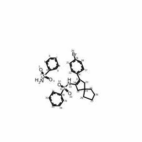 NS(=O)(=O)c1ccccc1.O=S(=O)(NC1=C(c2ccc(Br)cc2)CC2(CCCC2)C1)c1ccccc1